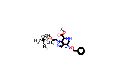 COC(=O)C1NCC(NOCc2ccccc2)c2cnn(CCO[Si](C)(C)C(C)(C)C)c21